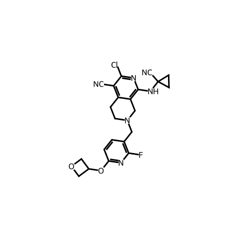 N#Cc1c(Cl)nc(NC2(C#N)CC2)c2c1CCN(Cc1ccc(OC3COC3)nc1F)C2